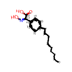 CCCCCCCCCc1ccc(/C(=N/O)C(=O)O)cc1